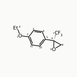 CCOc1ccc([C@@]2(C(F)(F)F)CO2)cc1